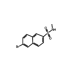 CNS(=O)(=O)c1ccc2cc(Br)ccc2c1